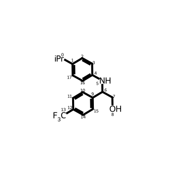 CC(C)c1ccc(NC(CO)c2ccc(C(F)(F)F)cc2)cc1